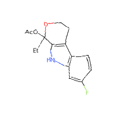 CCC1(OC(C)=O)OCCc2c1[nH]c1cc(F)ccc21